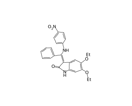 CCOc1cc2c(cc1OCC)C(=C(Nc1ccc([N+](=O)[O-])cc1)c1ccccc1)C(=O)N2